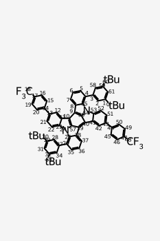 CC(C)(C)c1cc(-c2cccc3c4c5c6cc(-c7ccc(C(F)(F)F)cc7)ccc6n6c7c(-c8cc(C(C)(C)C)cc(C(C)(C)C)c8)cccc7c(c7c8cc(-c9ccc(C(F)(F)F)cc9)ccc8n(c23)c74)c56)cc(C(C)(C)C)c1